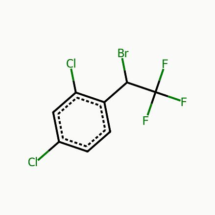 FC(F)(F)C(Br)c1ccc(Cl)cc1Cl